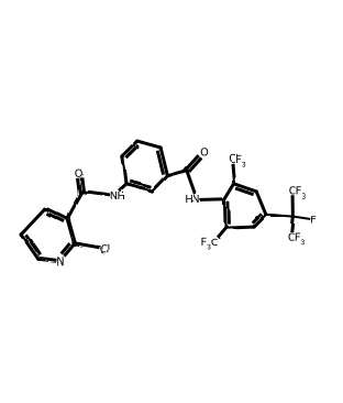 O=C(Nc1c(C(F)(F)F)cc(C(F)(C(F)(F)F)C(F)(F)F)cc1C(F)(F)F)c1cccc(NC(=O)c2cccnc2Cl)c1